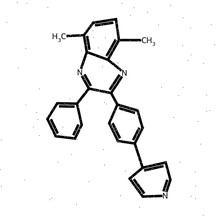 Cc1ccc(C)c2nc(-c3ccc(-c4ccncc4)cc3)c(-c3ccccc3)nc12